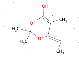 C/C=C1\OC(C)(C)OC(O)=C1C